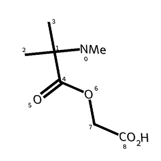 CNC(C)(C)C(=O)OCC(=O)O